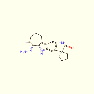 C=C1CCCc2c([nH]c3cc4c(cc23)NC(=O)C42CCCC2)C1=NN